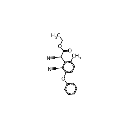 CCOC(=O)C(C#N)c1c(C)ccc(Oc2ccccc2)c1C#N